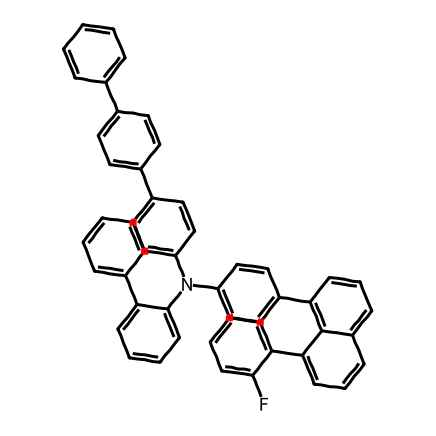 Fc1ccccc1-c1cccc2cccc(-c3ccc(N(c4ccc(-c5ccc(-c6ccccc6)cc5)cc4)c4ccccc4-c4ccccc4)cc3)c12